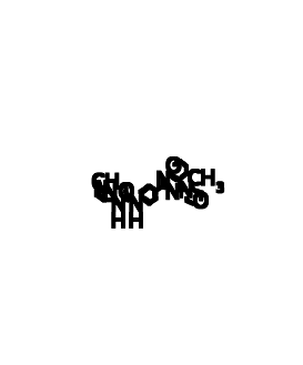 CC1COCCN1c1nc(-c2ccc(NC(=O)Nc3ccn(C)n3)cc2)nc2c1CCCO2